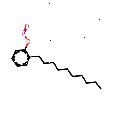 CCCCCCCCCCc1ccccc1OP=O